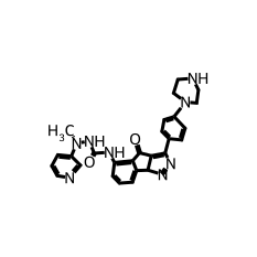 CN(NC(=O)Nc1cccc2c1C(=O)C1=C(c3ccc(N4CCNCC4)cc3)N=NC12)c1cccnc1